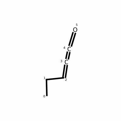 CCC=C=C=O